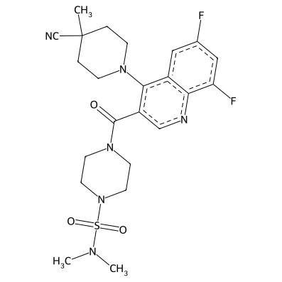 CN(C)S(=O)(=O)N1CCN(C(=O)c2cnc3c(F)cc(F)cc3c2N2CCC(C)(C#N)CC2)CC1